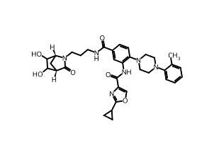 Cc1ccccc1N1CCN(c2ccc(C(=O)NCCCN3C(=O)[C@H]4C[C@@H]3C(O)C4O)cc2NC(=O)c2coc(C3CC3)n2)CC1